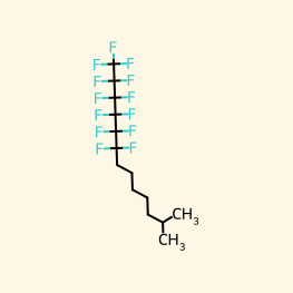 CC(C)CCCCCC(F)(F)C(F)(F)C(F)(F)C(F)(F)C(F)(F)C(F)(F)F